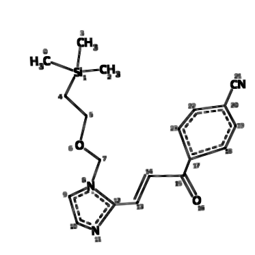 C[Si](C)(C)CCOCn1ccnc1C=CC(=O)c1ccc(C#N)cc1